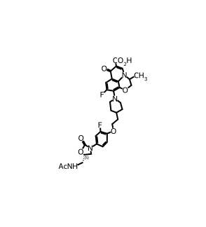 CC(=O)NC[C@H]1CN(c2ccc(OCCC3CCN(c4c(F)cc5c(=O)c(C(=O)O)cn6c5c4OCC6C)CC3)c(F)c2)C(=O)O1